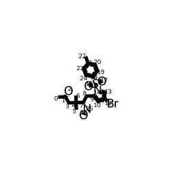 CC(=O)CC(C)(C)C(Cc1cc(Br)cn1S(=O)(=O)c1ccc(C)cc1)N=O